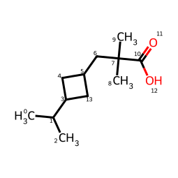 CC(C)C1CC(CC(C)(C)C(=O)O)C1